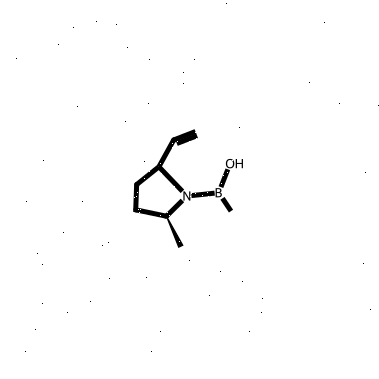 C=CC1CC[C@H](C)N1B(C)O